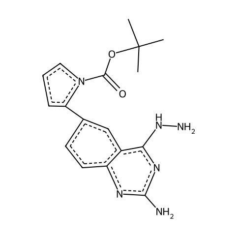 CC(C)(C)OC(=O)n1cccc1-c1ccc2nc(N)nc(NN)c2c1